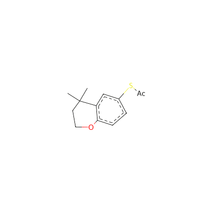 CC(=O)Sc1ccc2c(c1)C(C)(C)CCO2